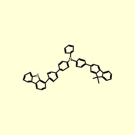 CC1(C)c2ccccc2-c2ccc(-c3ccc(N(c4ccccc4)c4ccc(-c5ccc(-c6cccc7c6sc6ccccc67)cc5)cc4)cc3)cc21